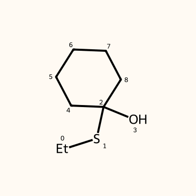 CCSC1(O)CCCCC1